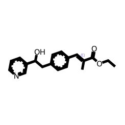 CCOC(=O)/C(C)=C/c1ccc(CC(O)c2cccnc2)cc1